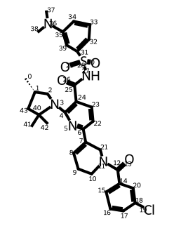 C[C@@H]1CN(c2nc(C3=CCCN(C(=O)c4cccc(Cl)c4)C3)ccc2C(=O)NS(=O)(=O)c2cccc(N(C)C)c2)C(C)(C)C1